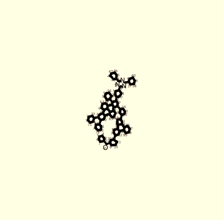 O=C(c1ccccc1)c1cccc(-c2ccc3c4ccc(-c5cccc(-c6cc(-c7ccc(-c8nc(-c9ccccc9)nc(-c9ccccc9)n8)cc7)c(-c7ccccc7)c7c8cccc9c%10cc(-c%11ccccc%11)c(-c%11ccccc%11)cc%10c%10cccc(c67)c%10c98)c5)cc4c4ccccc4c3c2)c1